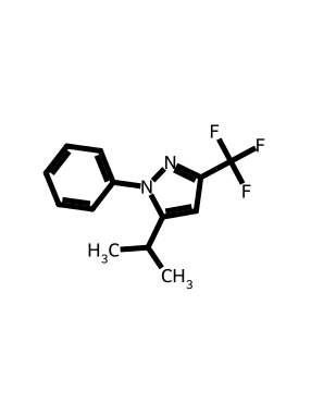 CC(C)c1cc(C(F)(F)F)nn1-c1ccccc1